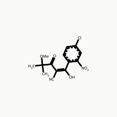 COC(C)(C)C(=O)C(C#N)=C(O)c1ccc(Cl)cc1[N+](=O)[O-]